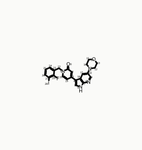 O=c1cc(-c2c[nH]c3ncc(N4CCOCC4)cc23)ccn1Cc1cccc(I)c1F